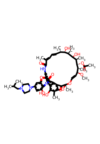 CO[C@H]1/C=C/O[C@@]2(C)Oc3c(C)c(O)c4c(=O)c(c5oc6cc(N7CCN(CC(C)C)CC7)cc(O)c6nc-5c4c3C2=O)NC(=O)/C(C)=C/C=C/[C@H](C)[C@H](O)[C@@H](C)[C@@H](O)[C@@H](C)[C@H](OC(C)=O)[C@@H]1C